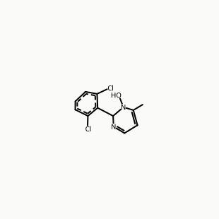 CC1=CC=NC(c2c(Cl)cccc2Cl)N1O